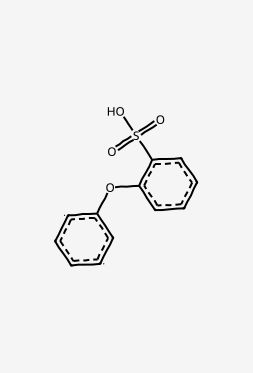 O=S(=O)(O)c1ccccc1Oc1[c]cc[c]c1